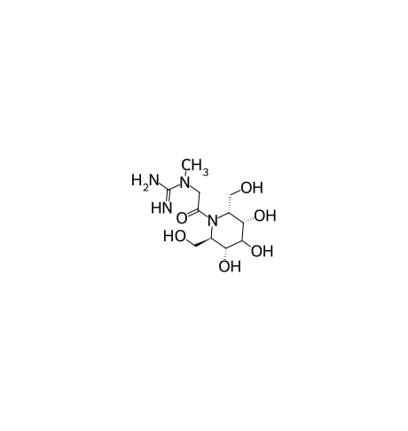 CN(CC(=O)N1[C@H](CO)[C@H](O)C(O)[C@H](O)[C@H]1CO)C(=N)N